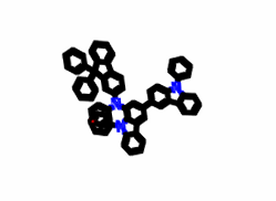 c1ccc(N(c2ccc3c(c2)C(c2ccccc2)(c2ccccc2)c2ccccc2-3)c2cc(-c3ccc4c(c3)c3ccccc3n4-c3ccccc3)cc3c4ccccc4n(-c4ccccc4)c23)cc1